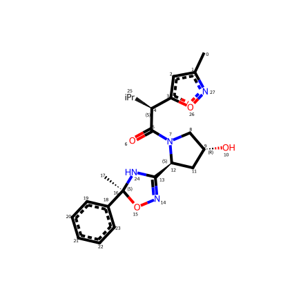 Cc1cc([C@@H](C(=O)N2C[C@H](O)C[C@H]2C2=NO[C@@](C)(c3ccccc3)N2)C(C)C)on1